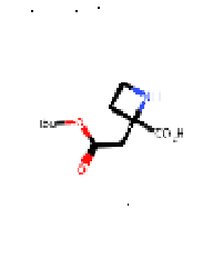 CC(C)(C)OC(=O)CC1(C(=O)O)CCN1